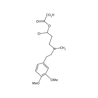 COc1ccc(CCN(C)CCC(Cl)OC(=O)C(=O)O)cc1OC